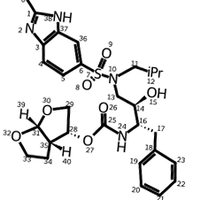 Cc1nc2ccc(S(=O)(=O)N(CC(C)C)C[C@@H](O)[C@H](Cc3ccccc3)NC(=O)O[C@H]3CO[C@H]4OCC[C@H]43)cc2[nH]1